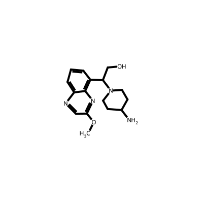 COc1cnc2cccc(C(CO)N3CCC(N)CC3)c2n1